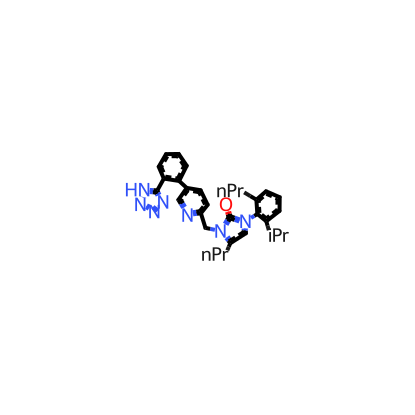 CCCc1cccc(C(C)C)c1-n1cc(CCC)n(Cc2ccc(-c3ccccc3-c3nnn[nH]3)cn2)c1=O